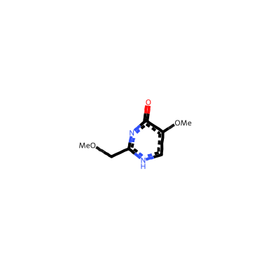 COCc1nc(=O)c(OC)c[nH]1